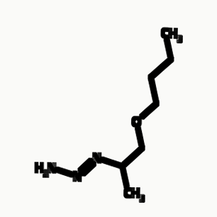 CCCCOCC(C)N=NN